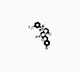 CC(C)N1CC2N(C(=O)CCN2S(=O)(=O)c2cccc(C(F)(F)F)c2)C(Cc2ccc(Br)cc2)C1=O